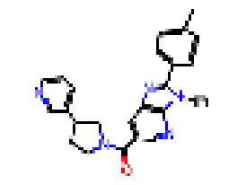 Cc1ccc(-c2nc3cc(C(=O)N4CCC(c5cccnc5)C4)cnc3n2C(C)C)cc1